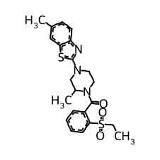 CCS(=O)(=O)c1ccccc1C(=O)N1CCN(c2nc3ccc(C)cc3s2)CC1C